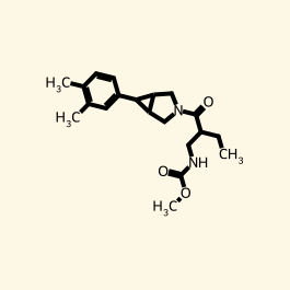 CCC(CNC(=O)OC)C(=O)N1CC2C(C1)C2c1ccc(C)c(C)c1